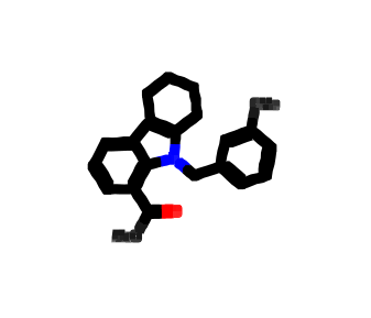 COC(=O)c1cccc2c3c(n(Cc4cccc(OC)c4)c12)CCCC3